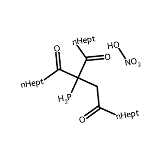 CCCCCCCC(=O)CC(P)(C(=O)CCCCCCC)C(=O)CCCCCCC.O=[N+]([O-])O